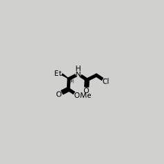 CC[C@@H](NC(=O)CCl)C(=O)OC